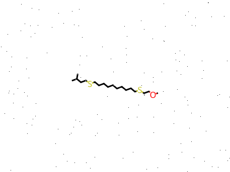 COCCSCCCCCCCCCCSCCC(C)C